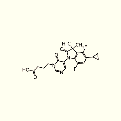 CC1(C)C(=O)N(c2cncn(CCCC(=O)O)c2=O)c2c(F)cc(C3CC3)c(F)c21